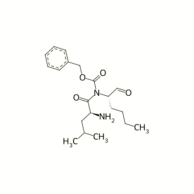 CCCC[C@@H](C=O)N(C(=O)OCc1ccccc1)C(=O)[C@@H](N)CC(C)C